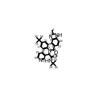 Cc1nc2cc(C(=O)N(c3ccc(C(C)(C)C)cc3)C(C(=O)NC(C)(C)C)c3cccnc3)ccc2[nH]1